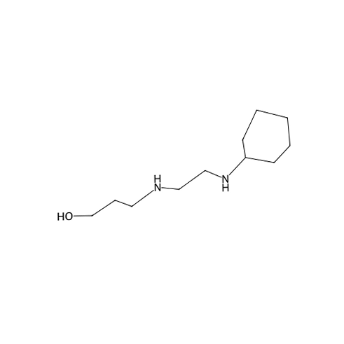 OCCCNCCNC1CCCCC1